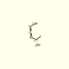 CCC[C@@H](C)N=C=NC(C)C